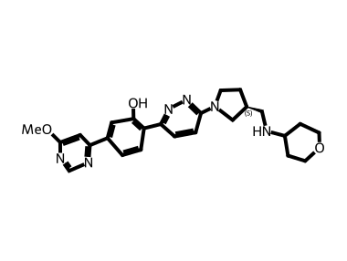 COc1cc(-c2ccc(-c3ccc(N4CC[C@@H](CNC5CCOCC5)C4)nn3)c(O)c2)ncn1